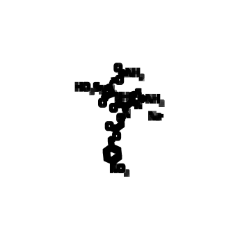 NC(=O)OC[C@@H]1[C@H](NC(=O)C(=NOCC(=O)OCc2ccc([N+](=O)[O-])cc2)c2csc(N)n2)C(=O)N1S(=O)(=O)O.[Na]